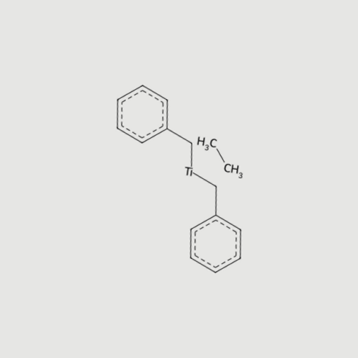 CC.c1ccc([CH2][Ti][CH2]c2ccccc2)cc1